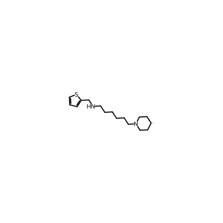 [CH]1CCN(CCCCCCNCc2cccs2)CC1